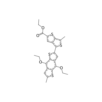 CCOC(=O)c1cc2c(-c3cc4c(OCC)c5sc(C)cc5c(OCC)c4s3)sc(C)c2s1